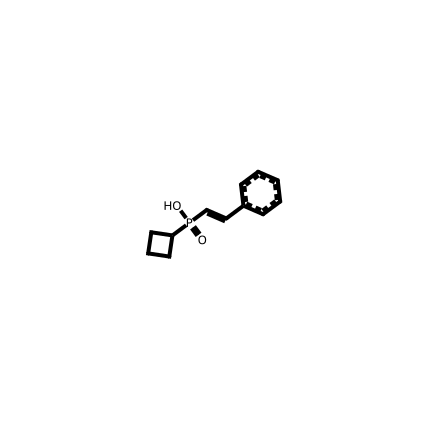 O=P(O)(C=Cc1ccccc1)C1CCC1